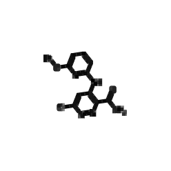 CCOc1cccc(Nc2cc(Cl)nnc2C(N)=O)n1